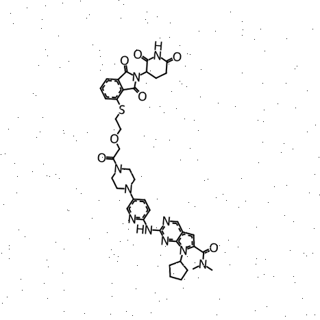 CN(C)C(=O)c1cc2cnc(Nc3ccc(N4CCN(C(=O)COCCSc5cccc6c5C(=O)N(C5CCC(=O)NC5=O)C6=O)CC4)cn3)nc2n1C1CCCC1